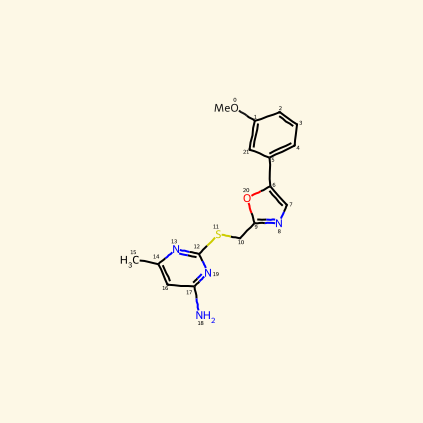 COc1cccc(-c2cnc(CSc3nc(C)cc(N)n3)o2)c1